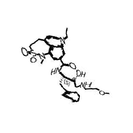 CCn1cc2c3c(cc(C(=O)N[C@@H](Cc4ccccc4)[C@H](O)CNCCOC)cc31)N(C)S(=O)(=O)CC2